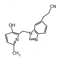 Cc1ccc(O)c(Cn2cnc3ccc(CCC#N)cc32)n1